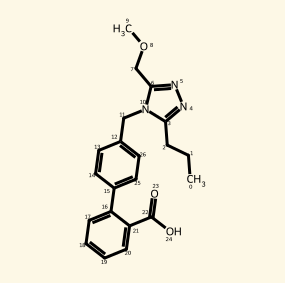 CCCc1nnc(COC)n1Cc1ccc(-c2ccccc2C(=O)O)cc1